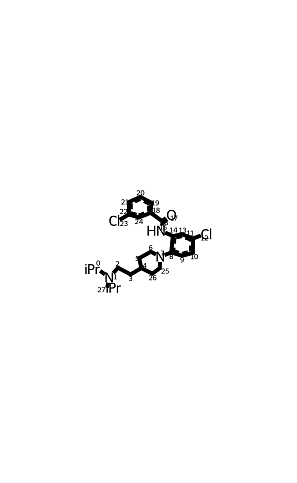 CC(C)N(CCC1CCN(c2ccc(Cl)cc2NC(=O)c2cccc(Cl)c2)CC1)C(C)C